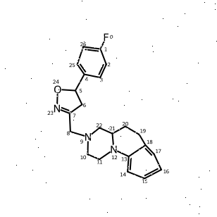 Fc1ccc(C2CC(CN3CCN4c5ccccc5CCC4C3)=NO2)cc1